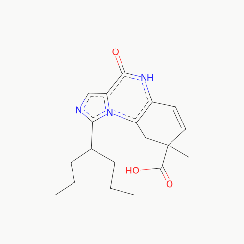 CCCC(CCC)c1ncc2c(=O)[nH]c3c(n12)CC(C)(C(=O)O)C=C3